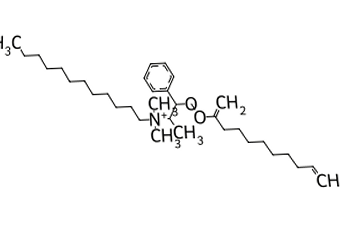 C=CCCCCCCCC(=C)OOC(c1ccccc1)C(C)[N+](C)(C)CCCCCCCCCCCC